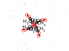 CC(C)(c1ccc(OCC2CO2)cc1)c1ccc(O[Si](Oc2ccc(C(C)(C)c3ccc(OCC4CO4)cc3)cc2)(Oc2ccc(C(C)(C)c3ccc(OCC4CO4)cc3)cc2)Oc2ccc(C(C)(C)c3ccc(OCC4CO4)cc3)cc2)cc1